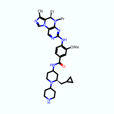 CC[C@@H]1c2c(C#N)ncn2-c2cnc(Nc3ccc(C(=O)NC4CCN(C5CCNCC5)[C@H](CC5CC5)C4)cc3OC)nc2N1C(C)C